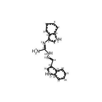 NC(=Nc1c[nH]c2ccccc12)NN=Cc1c[nH]c2ccccc12